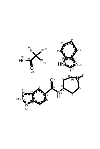 CN1CC[C@@H](NC(=O)c2ccc3nonc3c2)C[C@@H]1c1nc2ccccc2[nH]1.O=C(O)C(F)(F)F